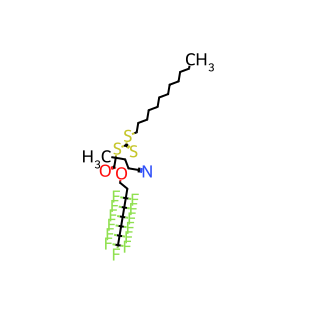 CCCCCCCCCCCCSC(=S)SC(C)(CCC#N)C(=O)OCCC(F)(F)C(F)(F)C(F)(F)C(F)(F)C(F)(F)C(F)(F)F